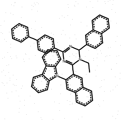 CCN1C(c2cc3ccccc3cc2-n2c3ccccc3c3ccccc32)=NC(c2ccc(-c3ccccc3)cc2)=NC1c1ccc2ccccc2c1